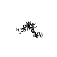 C=CC(=O)N1CCCC(n2nc(C(=O)Nc3ccc(CC(=O)N(C)C)cc3Br)c3c(N)ncnc32)C1